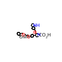 COc1ccccc1COCCCOc1ccc(C2CCN(C(=O)O)CC2OCc2ccc3c(c2)NCCC3)cc1